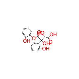 O=C(O)C(O)C(O)(C(=O)Oc1ccccc1O)c1ccccc1O